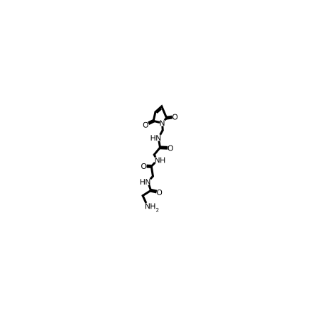 NCC(=O)NCC(=O)NCC(=O)NCN1C(=O)C=CC1=O